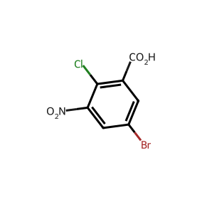 O=C(O)c1cc(Br)cc([N+](=O)[O-])c1Cl